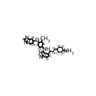 Cc1cc(Nc2ncnn3ccc(CCCC4CCC(N)CC4)c23)ccc1Oc1ccn2ncnc2c1